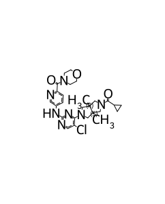 C[C@@]12CN(C(=O)C3CC3)C[C@]1(C)CN(c1nc(Nc3ccc(C(=O)N4CCOCC4)nc3)ncc1Cl)C2